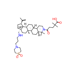 C=C(C)[C@@H]1CC[C@]2(CNCCCN3CCS(=O)(=O)CC3)CC[C@]3(C)[C@H](CC[C@@H]4[C@@]5(C)CCN(C(=O)CCC(C)(C)C(=O)O)C(C)(C)[C@@H]5CC[C@]43C)[C@@H]12